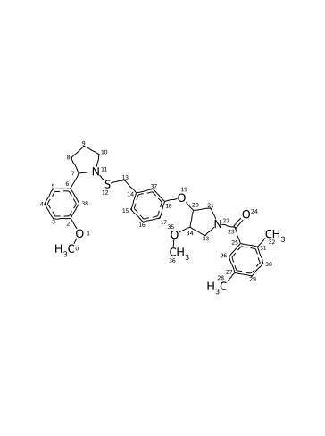 COc1cccc(C2CCCN2SCc2cccc(OC3CN(C(=O)c4cc(C)ccc4C)CC3OC)c2)c1